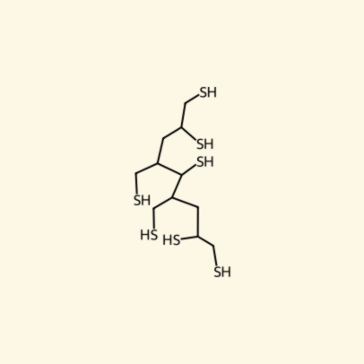 SCC(S)CC(CS)C(S)C(CS)CC(S)CS